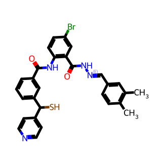 Cc1ccc(/C=N/NC(=O)c2cc(Br)ccc2NC(=O)c2cccc(C(S)c3ccncc3)c2)cc1C